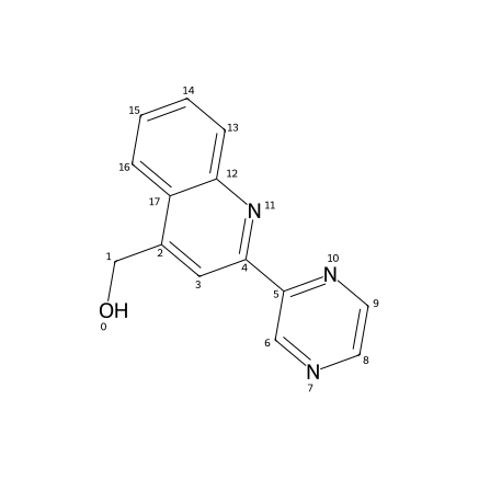 OCc1cc(-c2cnccn2)nc2ccccc12